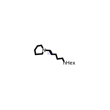 CCCCCCCCC/C=C/N1CCCCC1